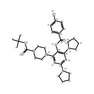 CC(C)(C)OC(=O)N1CCN(c2nc(N3CCCC3)nc(N3CCCC3)c2OC(=O)c2ccc(Cl)cc2)CC1